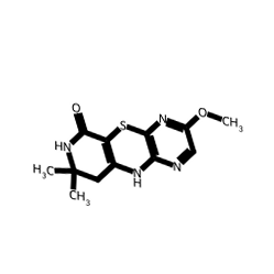 COc1cnc2c(n1)SC1=C(CC(C)(C)NC1=O)N2